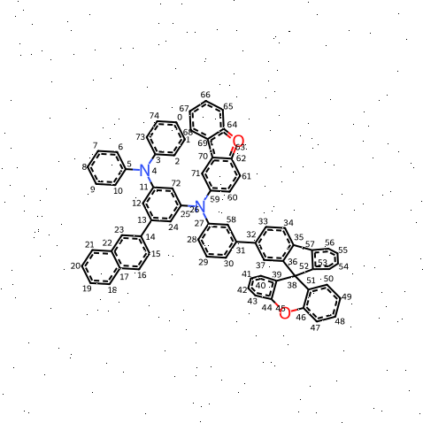 c1ccc(N(c2ccccc2)c2cc(-c3ccc4ccccc4c3)cc(N(c3cccc(-c4ccc5c(c4)C4(c6ccccc6Oc6ccccc64)c4ccccc4-5)c3)c3ccc4oc5ccccc5c4c3)c2)cc1